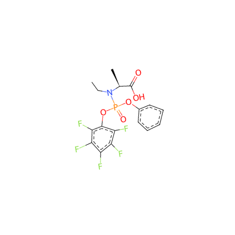 CCN([C@@H](C)C(=O)O)P(=O)(Oc1ccccc1)Oc1c(F)c(F)c(F)c(F)c1F